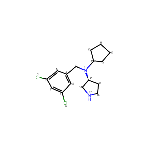 Clc1cc(Cl)cc(CN(C2CCCC2)[C@H]2CCNC2)c1